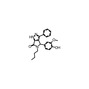 CCCCN1C(=O)c2[nH]nc(-c3ccccc3)c2C1c1ccc(O)c(OC)c1